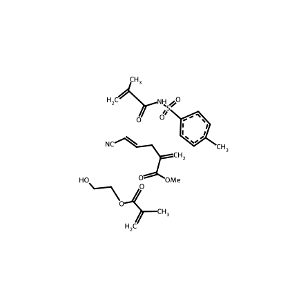 C=C(C)C(=O)NS(=O)(=O)c1ccc(C)cc1.C=C(C)C(=O)OCCO.C=C(CC=CC#N)C(=O)OC